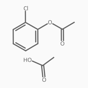 CC(=O)O.CC(=O)Oc1ccccc1Cl